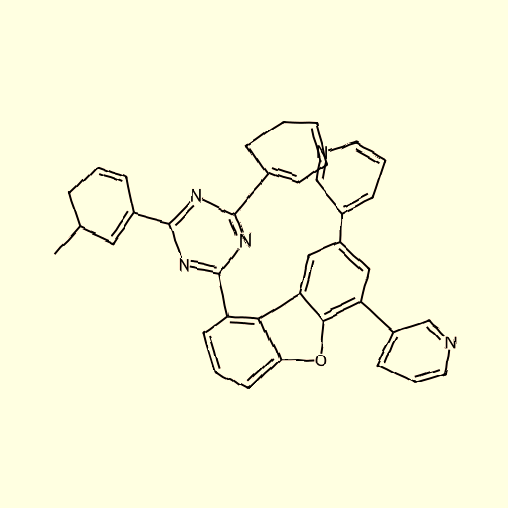 CC1C=C(c2nc(C3=CC=CCC3)nc(-c3cccc4oc5c(-c6cccnc6)cc(-c6cccnc6)cc5c34)n2)C=CC1